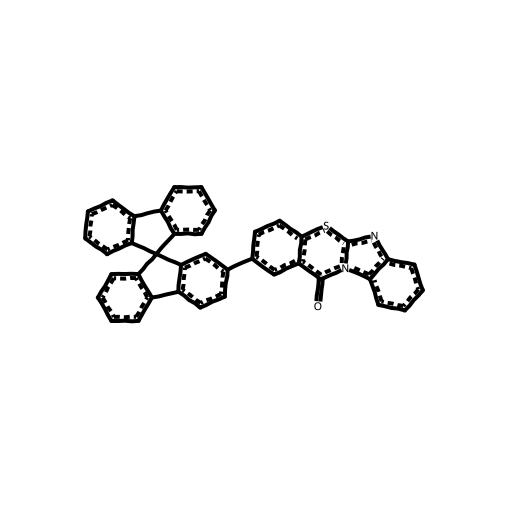 O=c1c2cc(-c3ccc4c(c3)C3(c5ccccc5-c5ccccc53)c3ccccc3-4)ccc2sc2nc3ccccc3n12